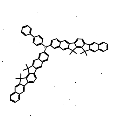 CC1(C)c2cc3ccccc3cc2-c2ccc3c(c21)C(C)(C)c1cc2cc(N(c4ccc(-c5ccccc5)cc4)c4ccc5cc6c(cc5c4)C(C)(C)c4c-6ccc5c4C(C)(C)c4cc6ccccc6cc4-5)ccc2cc1-3